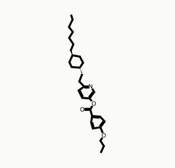 CCCCCCC[C@H]1CC[C@H](CCc2ccc(OC(=O)c3ccc(OCCC)cc3)cn2)CC1